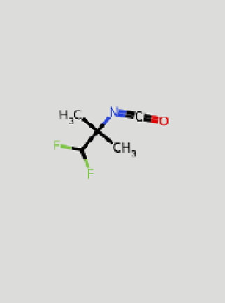 CC(C)(N=C=O)C(F)F